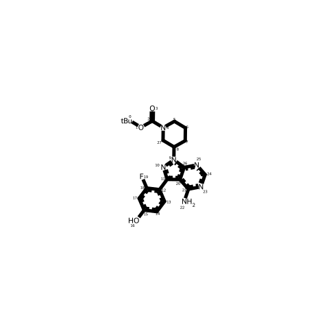 CC(C)(C)OC(=O)N1CCCC(n2nc(-c3ccc(O)cc3F)c3c(N)ncnc32)C1